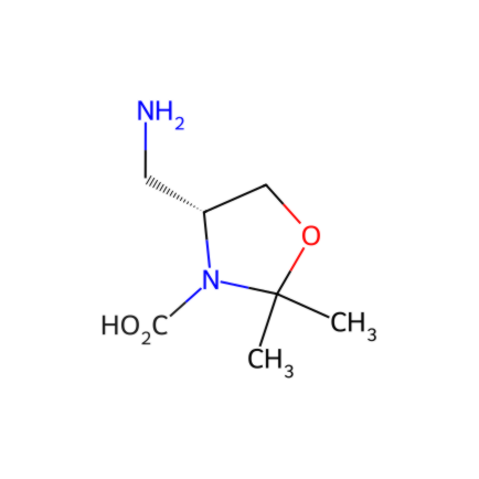 CC1(C)OC[C@@H](CN)N1C(=O)O